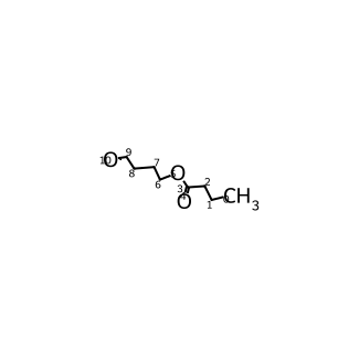 CCCC(=O)OCCCC[O]